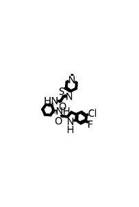 CN1CCc2nc(C(=O)N[C@H]3CCCC[C@@H]3NC(=O)C3Cc4cc(Cl)c(F)cc4N3)sc2C1